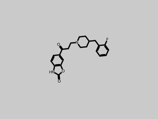 O=C(CCN1CCC(Cc2ccccc2F)CC1)c1ccc2[nH]c(=O)oc2c1